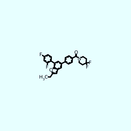 CCc1cc2cc(-c3ccc(C(=O)N4CCC(F)(F)CC4)cc3)cc(-c3ccc(F)cc3F)c2o1